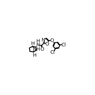 O=C(N[C@@H]1C[C@H]2CC[C@@H]1N2)c1ncc(Oc2cc(Cl)cc(Cl)c2)o1